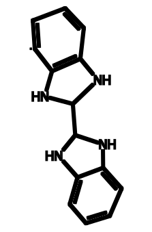 [c]1cccc2c1NC(C1Nc3ccccc3N1)N2